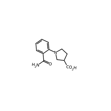 NC(=O)c1ccccc1N1CCC(C(=O)O)C1